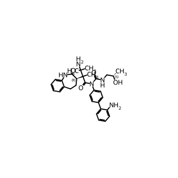 C[C@H](O)CNC(=O)N(C(=O)C(C)([C@H]1CCc2ccccc2NC1=O)C(C)(C)N)c1ccc(-c2ccccc2N)cc1